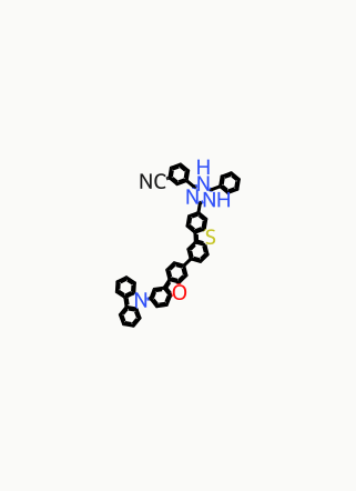 N#Cc1cccc(C2=NC(c3ccc4c(c3)sc3ccc(-c5ccc6c(c5)oc5ccc(-n7c8ccccc8c8ccccc87)cc56)cc34)NC(c3ccccc3)N2)c1